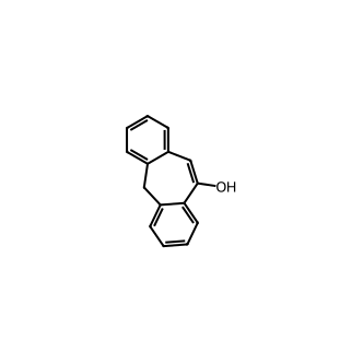 OC1=Cc2ccccc2Cc2ccccc21